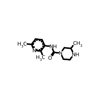 Cc1ccc(NC(=O)N2CCNC(C)C2)c(C)n1